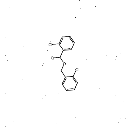 [O]C(OCc1ccccc1Cl)c1ccccc1Cl